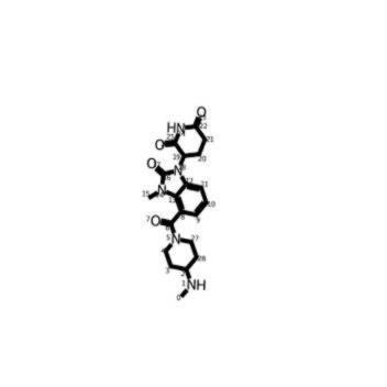 CNC1CCN(C(=O)c2cccc3c2n(C)c(=O)n3C2CCC(=O)NC2=O)CC1